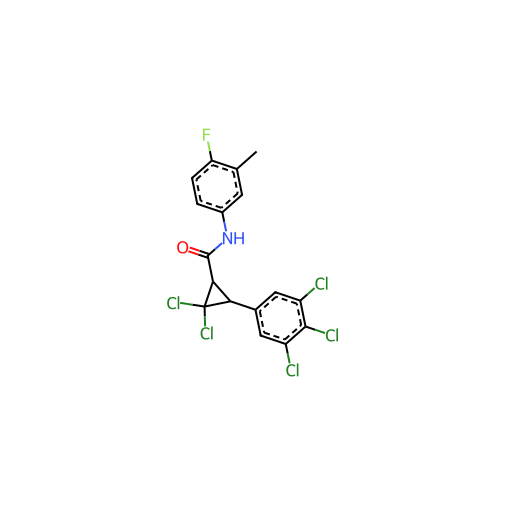 Cc1cc(NC(=O)C2C(c3cc(Cl)c(Cl)c(Cl)c3)C2(Cl)Cl)ccc1F